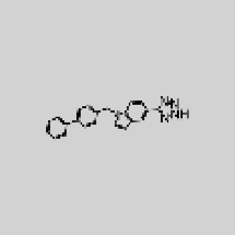 c1ccc(-c2ccc(Cn3ccc4cc(-c5nn[nH]n5)ccc43)cc2)cc1